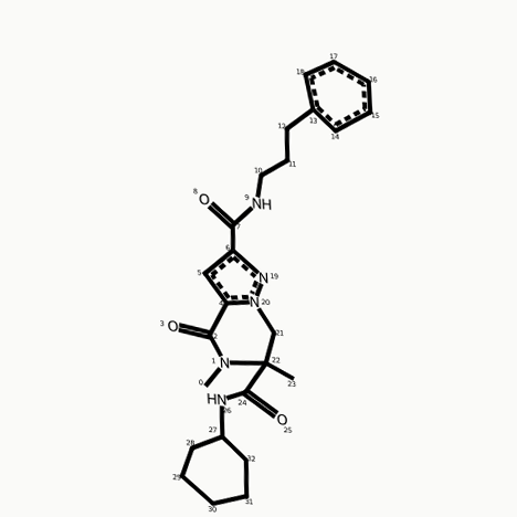 CN1C(=O)c2cc(C(=O)NCCCc3ccccc3)nn2CC1(C)C(=O)NC1CCCCC1